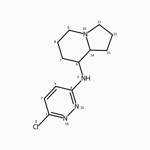 Clc1ccc(NC2CCCN3CCCC23)nn1